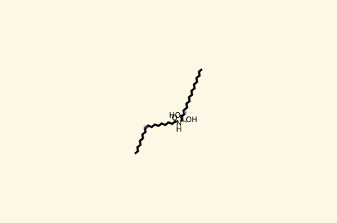 CCCCCCCC/C=C\CCCCCCCC(=O)N[C@@H](CO)[C@@H](O)/C=C/CCCCCCCCCCCCC